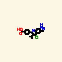 CC(C)c1c(-c2ccc(C(=O)O)cc2)nc2cc3[nH]ncc3cc2c1Cl